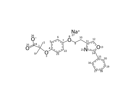 CC(C)(Oc1ccc(OCCc2coc(-c3ccccc3)n2)cc1)C(=O)[O-].[Na+]